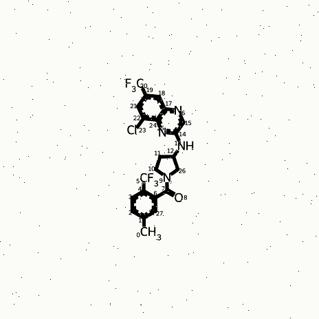 Cc1ccc(C(F)(F)F)c(C(=O)N2CCC(Nc3cnc4cc(C(F)(F)F)cc(Cl)c4n3)C2)c1